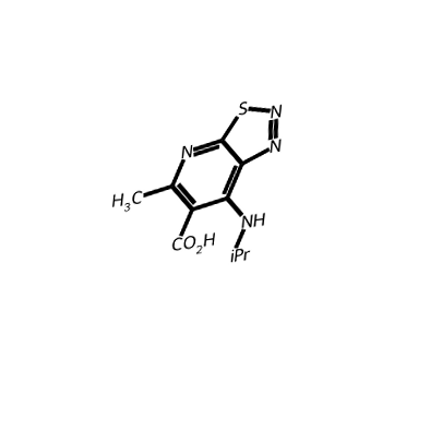 Cc1nc2snnc2c(NC(C)C)c1C(=O)O